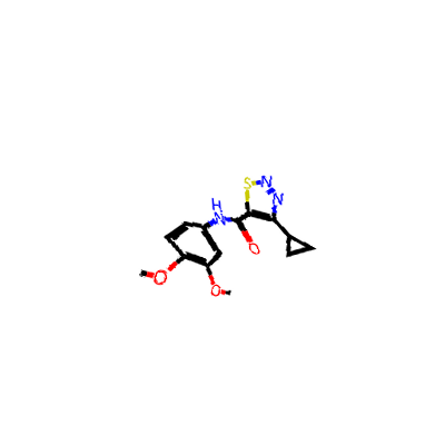 COc1ccc(NC(=O)c2snnc2C2CC2)cc1OC